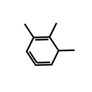 CC1=C(C)C(C)C=C=C1